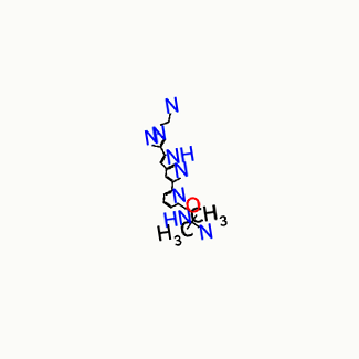 CC(C)(C#N)NC(=O)c1cccc(-c2cnc3[nH]c(-c4cnn(CCC#N)c4)cc3c2)n1